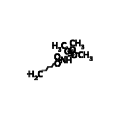 [CH2]CCCCCOC(=O)NCC[Si](OCC)(OCC)OCC